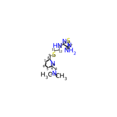 CN(C)Cc1cccc(CSCCNc2nsnc2N)n1